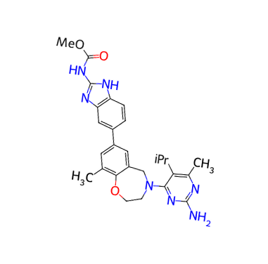 COC(=O)Nc1nc2cc(-c3cc(C)c4c(c3)CN(c3nc(N)nc(C)c3C(C)C)CCO4)ccc2[nH]1